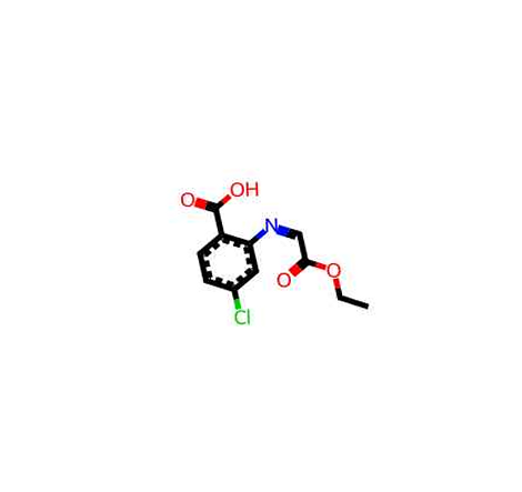 CCOC(=O)/C=N\c1cc(Cl)ccc1C(=O)O